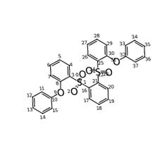 O=S(=O)(c1ccccc1Oc1ccccc1)c1ccccc1S(=O)(=O)c1ccccc1Oc1ccccc1